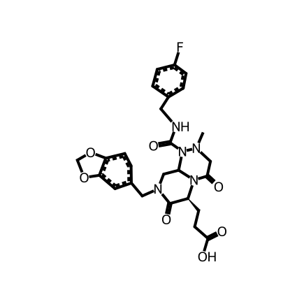 CN1CC(=O)N2C(CN(Cc3ccc4c(c3)OCO4)C(=O)[C@@H]2CCC(=O)O)N1C(=O)NCc1ccc(F)cc1